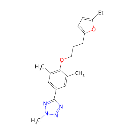 CCc1ccc(CCCOc2c(C)cc(-c3nnn(C)n3)cc2C)o1